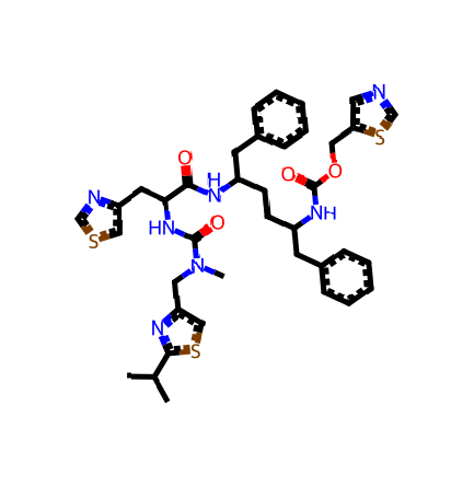 CC(C)c1nc(CN(C)C(=O)NC(Cc2cscn2)C(=O)NC(CCC(Cc2ccccc2)NC(=O)OCc2cncs2)Cc2ccccc2)cs1